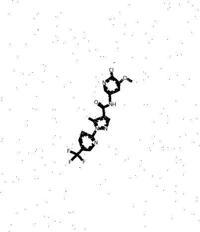 COc1cc(NC(=O)c2cnn(-c3ccc(C(F)(F)F)cn3)c2C)cnc1Cl